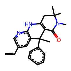 C=Cc1cnc2c(c1)C(C)(c1ccccc1)C1=C(CC(C)(C)N(C)C1=O)N2